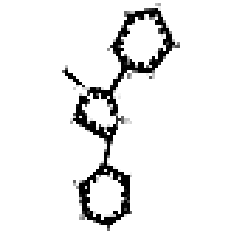 Cn1cc(-c2ccccc2)nc1-c1ccccc1